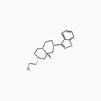 NCC[C@@H]1CCN2CCN(c3noc4ccccc34)C[C@@H]2C1